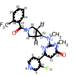 CN(c1nc(-c2ccncc2F)cc(=O)n1C)[C@H]1[C@@H]2CN(C(=O)c3ccccc3C(F)(F)F)C[C@@H]21